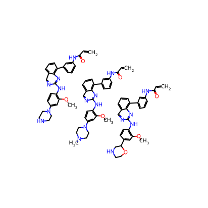 C=CC(=O)Nc1cccc(-c2cccc3cnc(Nc4ccc(C5CNCCO5)cc4OC)nc23)c1.C=CC(=O)Nc1cccc(-c2cccc3cnc(Nc4ccc(N5CCN(C)CC5)cc4OC)nc23)c1.C=CC(=O)Nc1cccc(-c2cccc3cnc(Nc4ccc(N5CCNCC5)cc4OC)nc23)c1